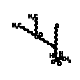 CCCCCCCCC(CCCCCCCC)OC(=O)CCCCCCCN(CCCCCCCC=O)CCCNc1c(NC)c(=O)c1=O